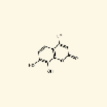 CCCc1cc(=O)oc2c(O)c(O)ccc12